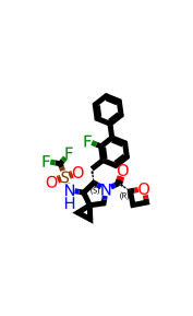 O=C([C@H]1CCO1)N1CC2(CC2)C(NS(=O)(=O)C(F)F)[C@@H]1Cc1cccc(-c2ccccc2)c1F